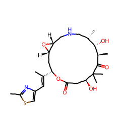 CC(=Cc1csc(C)n1)[C@@H]1C[C@@H]2O[C@@H]2CNC[C@H](C)[C@H](O)[C@@H](C)C(=O)C(C)(C)[C@@H](O)CC(=O)O1